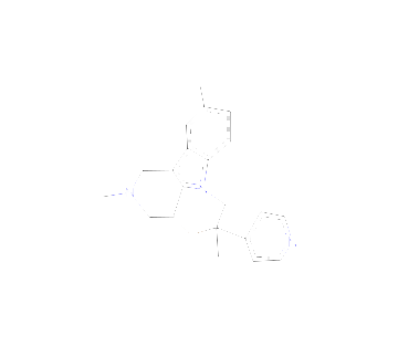 Cc1ccc2c(c1)c1c3n2CC(C)(c2ccncc2)SC3CN(C)C1